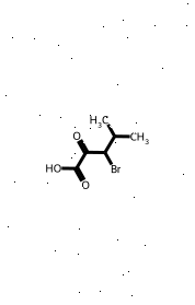 CC(C)C(Br)C(=O)C(=O)O